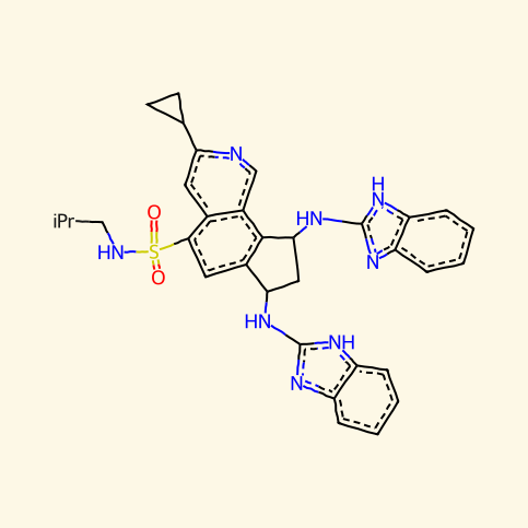 CC(C)CNS(=O)(=O)c1cc2c(c3cnc(C4CC4)cc13)C(Nc1nc3ccccc3[nH]1)CC2Nc1nc2ccccc2[nH]1